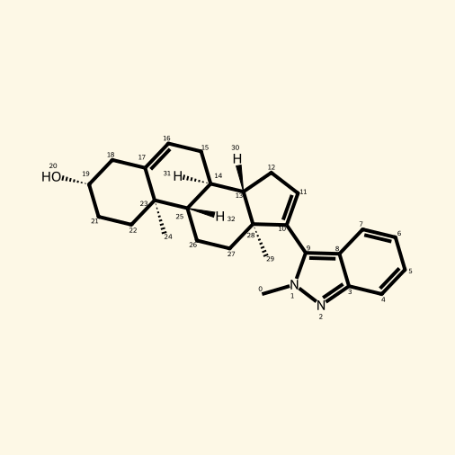 Cn1nc2ccccc2c1C1=CC[C@H]2[C@@H]3CC=C4C[C@@H](O)CC[C@]4(C)[C@H]3CC[C@]12C